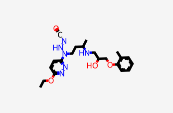 CCOc1ccc(N(CCC(C)NCC(O)COc2ccccc2C)NN=C=O)nn1